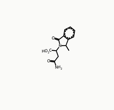 CC1c2ccccc2C(=O)N1C(CC(N)=O)C(=O)O